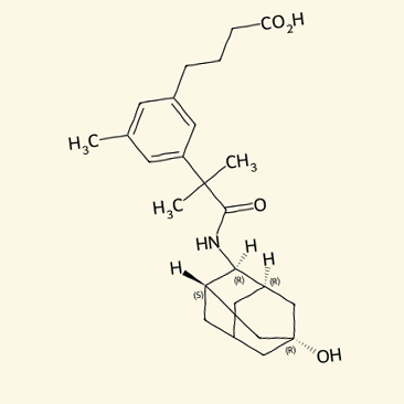 Cc1cc(CCCC(=O)O)cc(C(C)(C)C(=O)N[C@H]2[C@@H]3CC4C[C@H]2C[C@](O)(C4)C3)c1